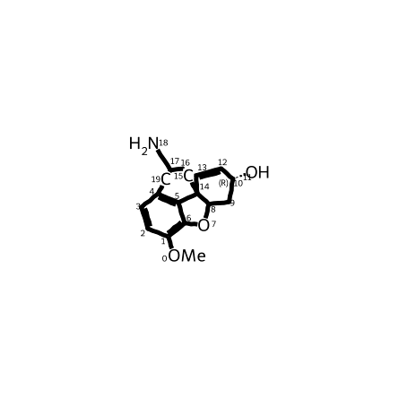 COc1ccc2c3c1OC1C[C@@H](O)C=CC31CCC(N)C2